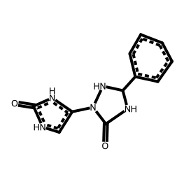 O=C1NC(c2ccccc2)NN1c1c[nH]c(=O)[nH]1